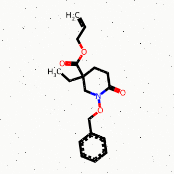 C=CCOC(=O)C1(CC)CCC(=O)N(OCc2ccccc2)C1